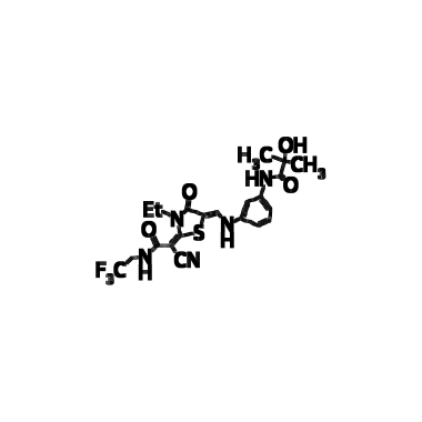 CCn1c(=C(C#N)C(=O)NCC(F)(F)F)sc(=CNc2cccc(NC(=O)C(C)(C)O)c2)c1=O